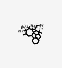 CCCCC1(C(C)CC)C(CCC)(C(C)C)C(C)C[C](C2CCCCC2)C(CC(C)(C)CC)(C2CCCC2)C1(CCC(C)C)C(C)(C)C